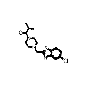 CC(C)C(=O)N1CCN(Cc2nc3cc(Cl)ccc3s2)CC1